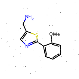 COc1ccccc1-c1ncc(CN)s1